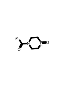 CC(C)C(=O)N1CC[PH](=O)CC1